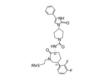 CSCCN1C[C@H](c2cccc(F)c2F)CC[C@@H](NC(=O)N2CCC(n3cc(-c4ccccc4)[nH]c3=O)CC2)C1=O